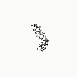 CC(C)S(=O)(=O)NCC(c1ccc(-c2ccc(O)cc2)cc1)C(F)(F)F